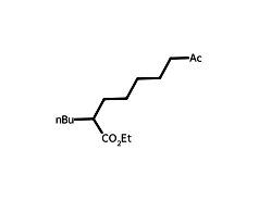 CCCCC(CCCCCC(C)=O)C(=O)OCC